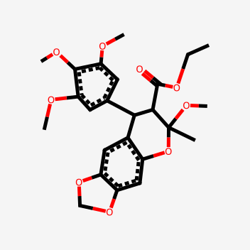 CCOC(=O)C1C(c2cc(OC)c(OC)c(OC)c2)c2cc3c(cc2OC1(C)OC)OCO3